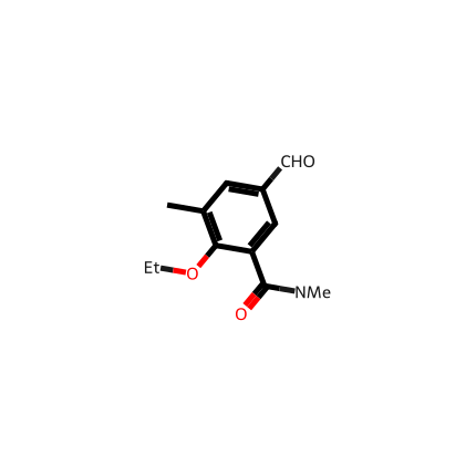 CCOc1c(C)cc(C=O)cc1C(=O)NC